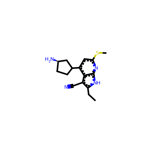 CCc1[nH]c2nc(SC)cc(C3CC[C@@H](N)C3)c2c1C#N